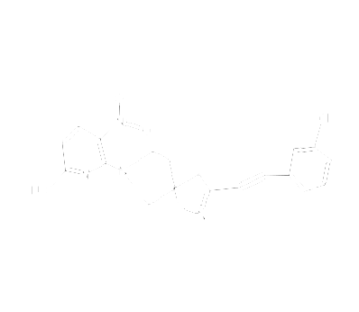 Cc1ccc([N+](=O)[O-])c(N2CCC3(CC2)CC(C#Cc2cccc(Cl)c2)=NO3)n1